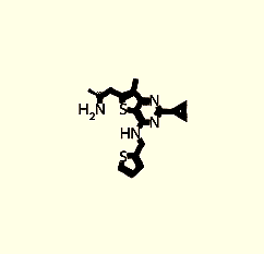 Cc1c(C[C@H](C)N)sc2c(NCc3cccs3)nc(C3CC3)nc12